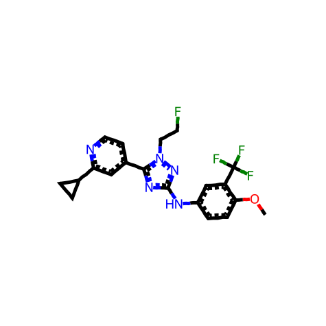 COc1ccc(Nc2nc(-c3ccnc(C4CC4)c3)n(CCF)n2)cc1C(F)(F)F